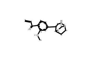 C=CC(=O)c1ccc(C2CNN3CCC2CC3)cc1OC